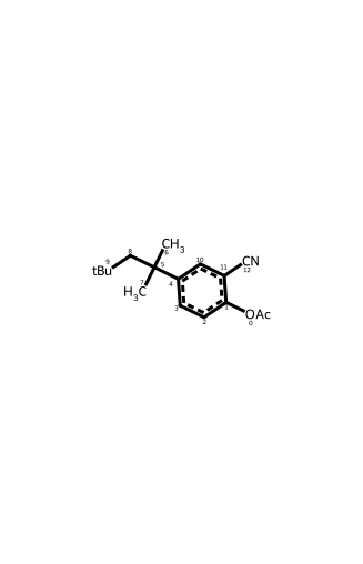 CC(=O)Oc1ccc(C(C)(C)CC(C)(C)C)cc1C#N